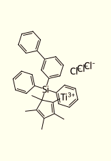 CC1=C(C)C(C)([Si](c2ccccc2)(c2ccccc2)c2cccc(-c3ccccc3)c2)[C]([Ti+3])=C1C.[Cl-].[Cl-].[Cl-]